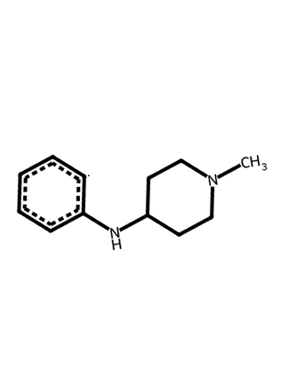 CN1CCC(Nc2[c]cccc2)CC1